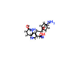 N#Cc1cnc2c(c1CC(O)C13CCC(N)(CC1)CO3)NC(=O)CC2